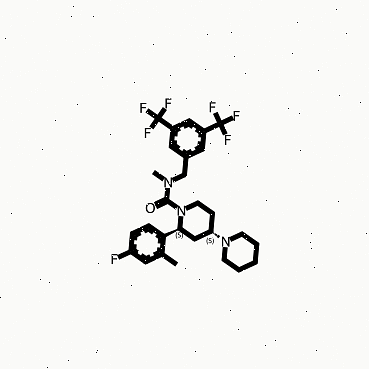 Cc1cc(F)ccc1[C@@H]1C[C@@H](N2CCCCC2)CCN1C(=O)N(C)Cc1cc(C(F)(F)F)cc(C(F)(F)F)c1